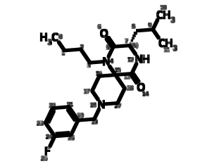 CCCCN1C(=O)[C@H](CC(C)C)NC(=O)C12CCN(Cc1cccc(F)c1)CC2